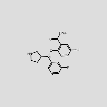 COC(=O)c1cc(Cl)ccc1O[C@H](c1cncc(F)c1)C1CCNC1